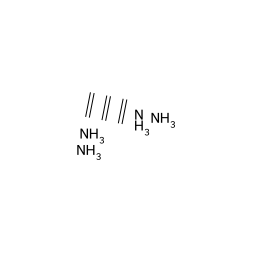 C=C.C=C.C=C.N.N.N.N